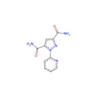 NC(=O)c1cc(C(N)=O)n(-c2ccccn2)n1